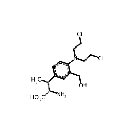 CC(c1ccc(N(CCCl)CCCl)c(CO)c1)[C@H](N)C(=O)O